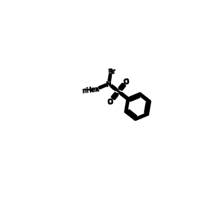 CCCCCCN(Br)S(=O)(=O)c1ccccc1